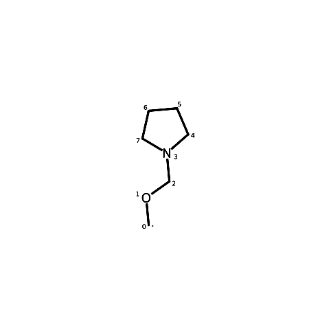 [CH2]OCN1CCCC1